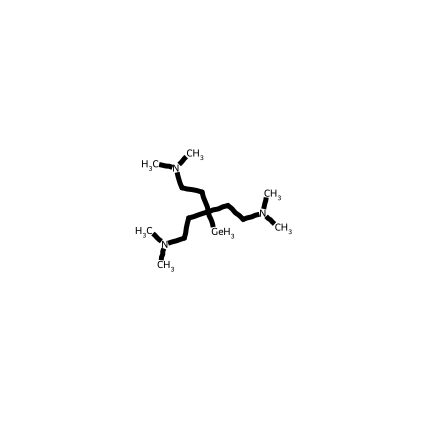 CN(C)CC[C]([GeH3])(CCN(C)C)CCN(C)C